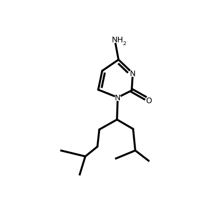 CC(C)CCC(CC(C)C)n1ccc(N)nc1=O